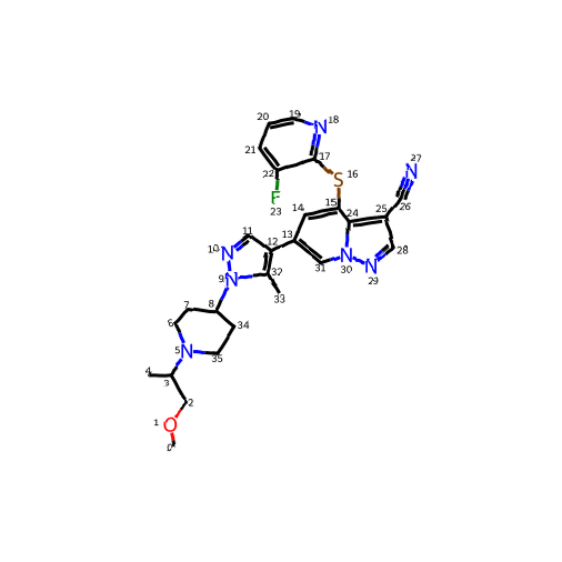 COCC(C)N1CCC(n2ncc(-c3cc(Sc4ncccc4F)c4c(C#N)cnn4c3)c2C)CC1